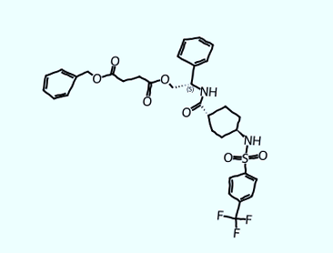 O=C(CCC(=O)OC[C@@H](NC(=O)[C@H]1CC[C@H](NS(=O)(=O)c2ccc(C(F)(F)F)cc2)CC1)c1ccccc1)OCc1ccccc1